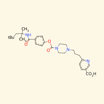 CC(C)(C)CC(C)(C)NC(=O)c1ccc(OC(=O)N2CCN(CCCc3ccc(C(=O)O)cn3)CC2)cc1